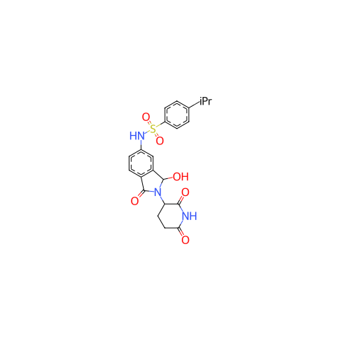 CC(C)c1ccc(S(=O)(=O)Nc2ccc3c(c2)C(O)N(C2CCC(=O)NC2=O)C3=O)cc1